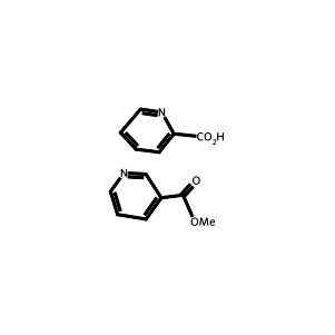 COC(=O)c1cccnc1.O=C(O)c1ccccn1